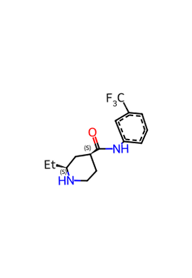 CC[C@H]1C[C@@H](C(=O)Nc2cccc(C(F)(F)F)c2)CCN1